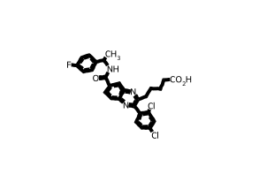 CC(NC(=O)c1ccc2nc(-c3ccc(Cl)cc3Cl)c(CCCCC(=O)O)nc2c1)c1ccc(F)cc1